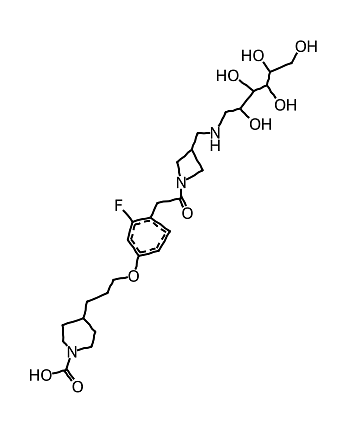 O=C(O)N1CCC(CCCOc2ccc(CC(=O)N3CC(CNCC(O)C(O)C(O)C(O)CO)C3)c(F)c2)CC1